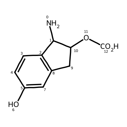 NC1c2ccc(O)cc2CC1OC(=O)O